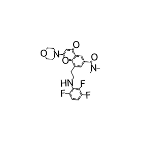 CN(C)C(=O)c1cc(CCNc2c(F)ccc(F)c2F)c2oc(N3CCOCC3)cc(=O)c2c1